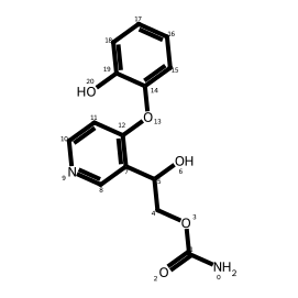 NC(=O)OCC(O)c1cnccc1Oc1ccccc1O